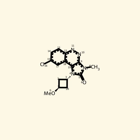 CO[C@H]1C[C@H](n2c(=O)n(C)c3nnc4ccc(Cl)cc4c32)C1